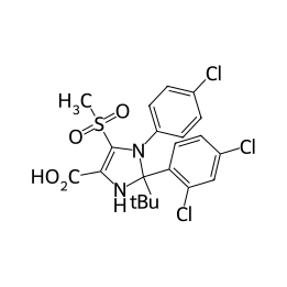 CC(C)(C)C1(c2ccc(Cl)cc2Cl)NC(C(=O)O)=C(S(C)(=O)=O)N1c1ccc(Cl)cc1